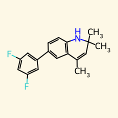 CC1=CC(C)(C)Nc2ccc(-c3cc(F)cc(F)c3)cc21